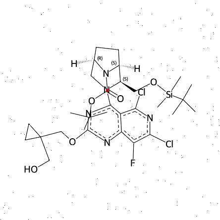 CC(C)(C)OC(=O)N1[C@@H]2CC[C@H]1[C@@H](CO[Si](C)(C)C(C)(C)C)N(c1nc(OCC3(CO)CC3)nc3c(F)c(Cl)nc(Cl)c13)C2